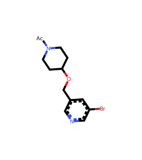 CC(=O)N1CCC(OCc2cncc(Br)c2)CC1